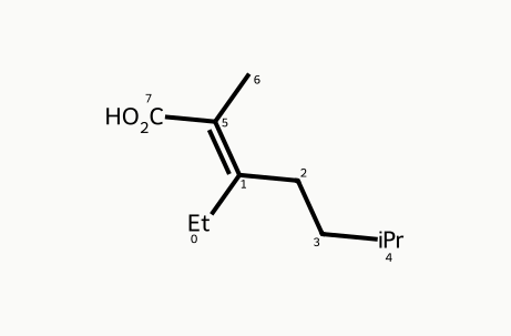 CC/C(CCC(C)C)=C(/C)C(=O)O